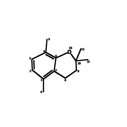 Cc1ccc(C)c2c1CCC(C)(C)O2